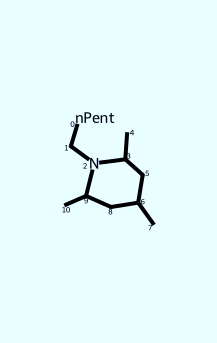 CCCCCCN1C(C)CC(C)CC1C